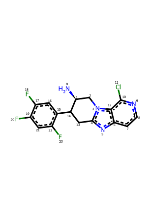 N[C@H]1Cn2c(nc3ccnc(Cl)c32)CC1c1cc(F)c(F)cc1F